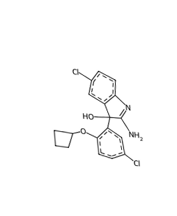 NC1=Nc2ccc(Cl)cc2C1(O)c1cc(Cl)ccc1OC1CCC1